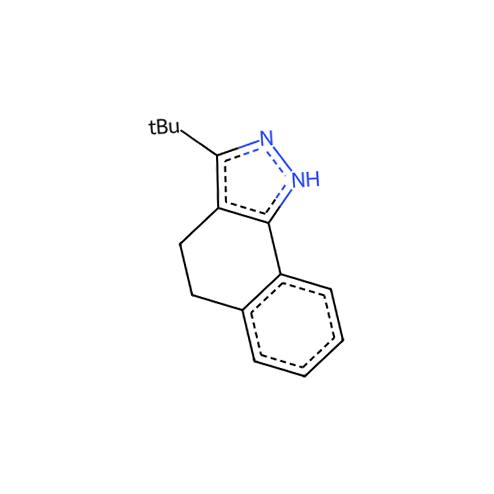 CC(C)(C)c1n[nH]c2c1CCc1ccccc1-2